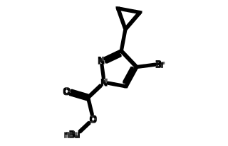 CCCCOC(=O)n1cc(Br)c(C2CC2)n1